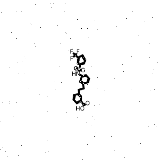 O=C(O)c1cccc(CCc2cccc(NS(=O)(=O)c3cccc(C(F)(F)F)c3)c2)c1